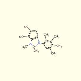 Cc1cc(N2c3ccc(C#N)c(C#N)c3N(C)[C@@H]2C)c(C)c(C)c1C